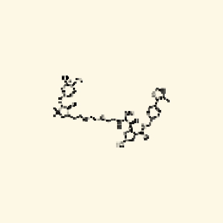 Cc1ncsc1-c1ccc(CNC(=O)C2CC(O)CN2C(=O)C(NCCOCCOCCN2CC(C)(C)C(Oc3ccc(C#N)c(C(F)(F)F)c3)C2=O)C(C)(C)C)cc1